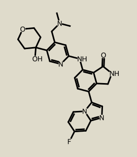 CN(C)Cc1cc(Nc2ccc(-c3cnc4cc(F)ccn34)c3c2C(=O)NC3)ncc1C1(O)CCOCC1